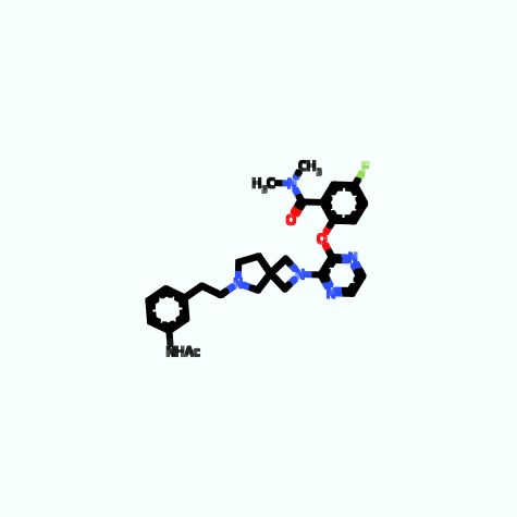 CC(=O)Nc1cccc(CCN2CCC3(C2)CN(c2nccnc2Oc2ccc(F)cc2C(=O)N(C)C)C3)c1